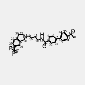 CC(=O)c1ccc(-c2ccc(C(=O)NCCCCN3CCc4ccc(C(F)(F)F)cc4C3)cc2)cc1